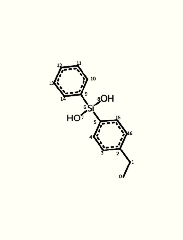 CCc1ccc([Si](O)(O)c2ccccc2)cc1